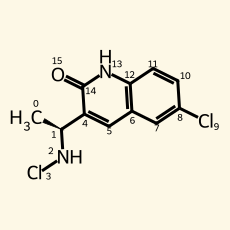 C[C@H](NCl)c1cc2cc(Cl)ccc2[nH]c1=O